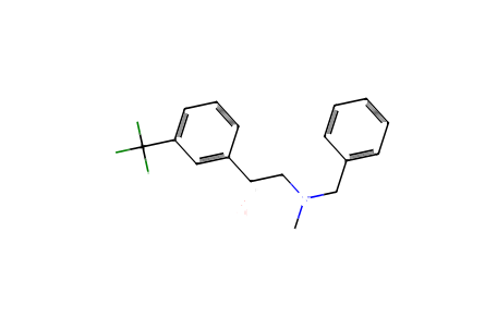 CN(Cc1ccccc1)C[C@H](O)c1cccc(C(F)(F)F)c1